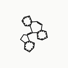 C1=Cc2ccccc2C(=C2CCc3ccccc32)c2ccccc21